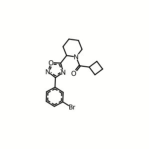 O=C(C1CCC1)N1CCCCC1c1nc(-c2cccc(Br)c2)no1